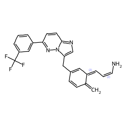 C=c1ccc(Cc2cnc3ccc(-c4cccc(C(F)(F)F)c4)nn23)c/c1=C/C=C\N